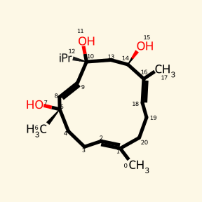 C/C1=C\CC[C@](C)(O)/C=C/[C@@](O)(C(C)C)C[C@@H](O)/C(C)=C/CC1